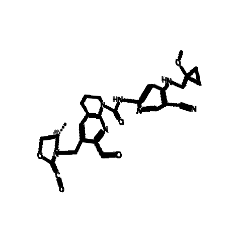 COC1(CNc2cc(NC(=O)N3CCCc4cc(CN5C(=C=O)OC[C@@H]5C)c(C=O)nc43)ncc2C#N)CC1